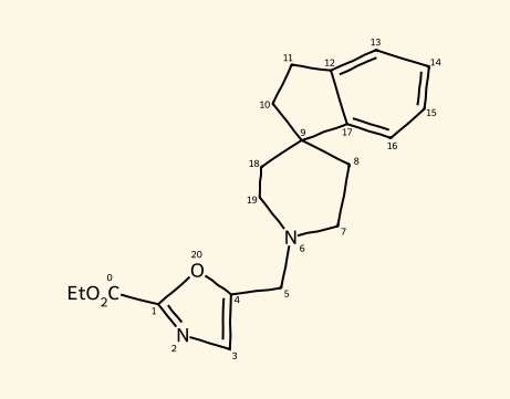 CCOC(=O)c1ncc(CN2CCC3(CCc4ccccc43)CC2)o1